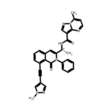 Cc1ccnc2c(C(=O)N[C@H](C)c3cc4cccc(C#Cc5cnn(C)c5)c4c(=O)n3-c3ccccc3)cnn12